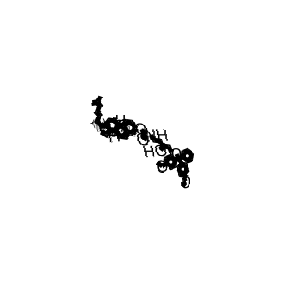 COc1ccc(C(OCCC(O)CCNC(=O)OC2CC[C@@]3(C)C(=CC[C@H]4[C@@H]5CC[C@H]([C@H](C)CCCC(C)C)[C@@]5(C)CC[C@@H]43)C2)(c2ccccc2)c2ccc(OC)cc2)cc1